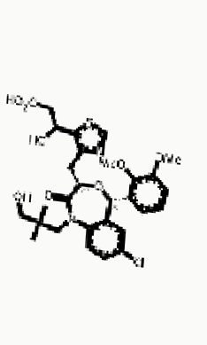 COc1cccc([C@H]2O[C@H](Cc3ncsc3C(O)CC(=O)O)C(=O)N(CC(C)(C)CO)c3ccc(Cl)cc32)c1OC